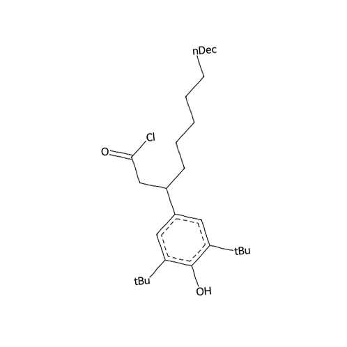 CCCCCCCCCCCCCCCC(CC(=O)Cl)c1cc(C(C)(C)C)c(O)c(C(C)(C)C)c1